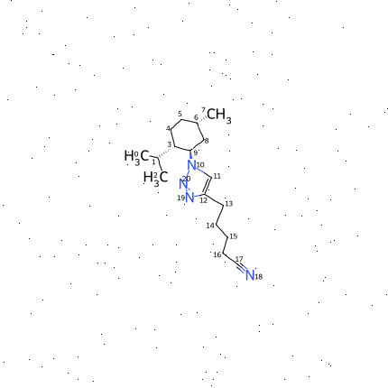 CC(C)[C@@H]1CC[C@H](C)C[C@H]1n1cc(CCCCC#N)nn1